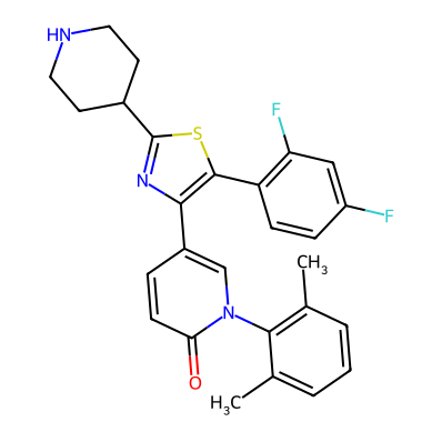 Cc1cccc(C)c1-n1cc(-c2nc(C3CCNCC3)sc2-c2ccc(F)cc2F)ccc1=O